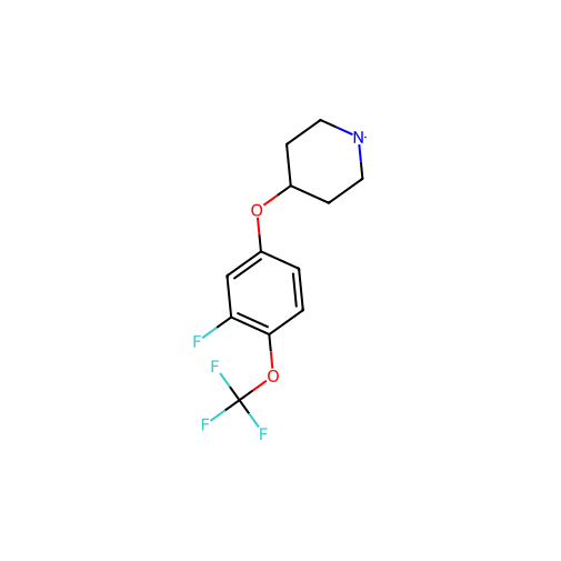 Fc1cc(OC2CC[N]CC2)ccc1OC(F)(F)F